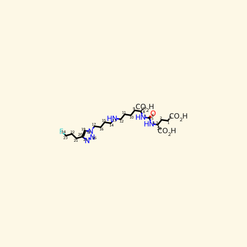 O=C(O)CC[C@H](NC(=O)N[C@@H](CCCCNCCCCn1cc(CCCF)nn1)C(=O)O)C(=O)O